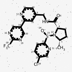 C[C@H]1CC[C@@H](C(=O)NCc2ccnc(-c3cnc(C(F)(F)F)nc3)c2)N1[S+]([O-])c1ccc(Cl)cn1